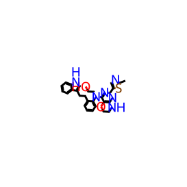 Cc1ncc(-c2nc3c(c(N(CCO)c4ccccc4CCc4c[nH]c5ccccc45)n2)OCCN3)s1